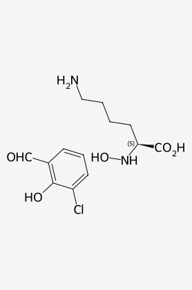 NCCCC[C@H](NO)C(=O)O.O=Cc1cccc(Cl)c1O